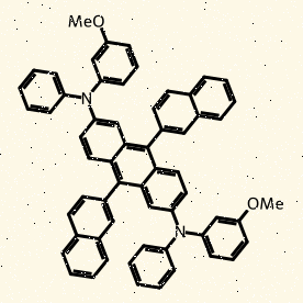 COc1cccc(N(c2ccccc2)c2ccc3c(-c4ccc5ccccc5c4)c4cc(N(c5ccccc5)c5cccc(OC)c5)ccc4c(-c4ccc5ccccc5c4)c3c2)c1